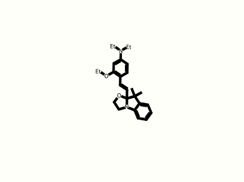 CCOc1cc(N(CC)CC)ccc1/C=C/C12OCCN1c1ccccc1C2(C)C